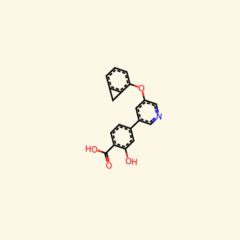 O=C(O)c1ccc(-c2cncc(Oc3cccc4c3C4)c2)cc1O